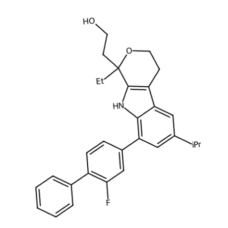 CCC1(CCO)OCCc2c1[nH]c1c(-c3ccc(-c4ccccc4)c(F)c3)cc(C(C)C)cc21